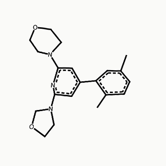 Cc1ccc(C)c(-c2cc(N3CCOCC3)nc(N3CCOC3)c2)c1